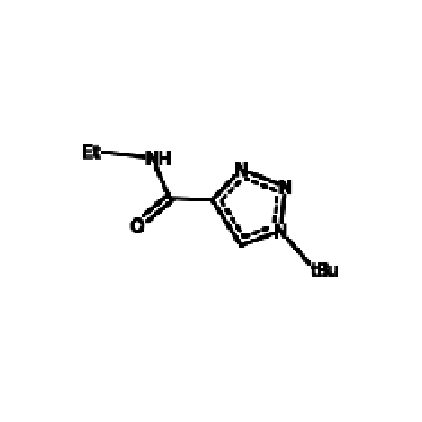 CCNC(=O)c1cn(C(C)(C)C)nn1